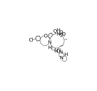 CO[C@@]1(CN2CCN3CCCC[C@@H]3C2)/C=C/C[C@H](C)[C@@H](C)S(=O)(=O)NC(=O)c2ccc3c(c2)N(CCCCc2cc(Cl)ccc2CO3)C[C@@H]2CC[C@H]21